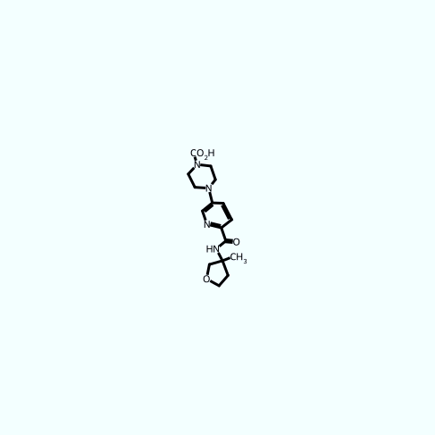 CC1(NC(=O)c2ccc(N3CCN(C(=O)O)CC3)cn2)CCOC1